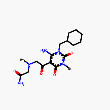 CCn1c(=O)c(C(=O)CN(CC(N)=O)C(C)C)c(N)n(CC2CCCCC2)c1=O